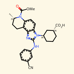 COC(=O)N1c2ccc3c(nc(Nc4cccc(C#N)c4)n3[C@@H]3CCC[C@@H](C(=O)O)C3)c2CC[C@@H]1C